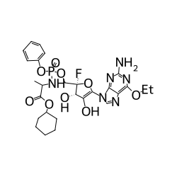 CCOc1nc(N)nc2c1ncn2C1=C(O)[C@H](O)[C@@](F)(COP(=O)(NC(C)C(=O)OC2CCCCC2)Oc2ccccc2)O1